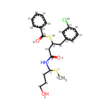 CSC(CCCO)NC(=O)CC(Cc1cccc(Cl)c1)SC(=O)c1ccccc1